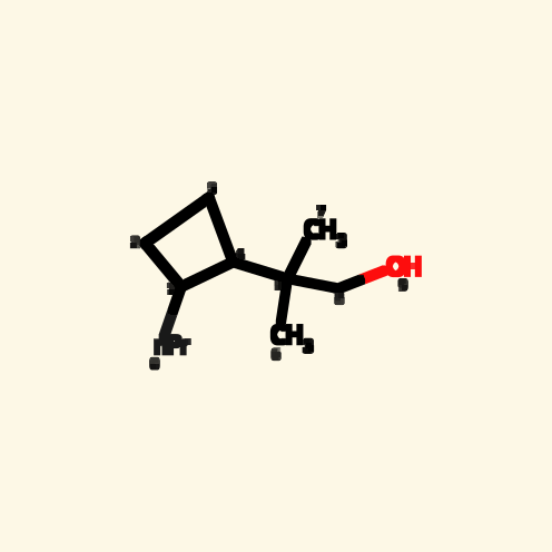 [CH2]CCC1CCC1C(C)(C)CO